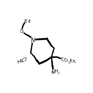 CCOC(=O)C1(N)CCN(OCC)CC1.Cl